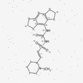 CN1CCCCC1/C=C/S(=O)(=O)NC(=O)Nc1c2c(cc3c1CCC3)CCC2